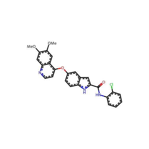 COc1cc2nccc(Oc3ccc4[nH]c(C(=O)Nc5ccccc5Cl)cc4c3)c2cc1OC